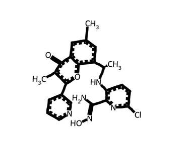 Cc1cc([C@@H](C)Nc2ccc(Cl)nc2/C(N)=N/O)c2oc(-c3cccnc3)c(C)c(=O)c2c1